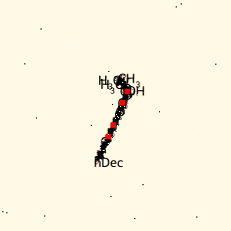 CCCCCCCCCCCCCCCCOCCCCCCCCCCOCCOCCOP(=O)(O)OCC[N+](C)(C)C